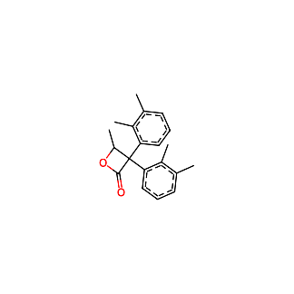 Cc1cccc(C2(c3cccc(C)c3C)C(=O)OC2C)c1C